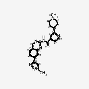 CN1CCC(c2cc(C(=O)Nc3ncc4ccc(-c5cn(C)nn5)cc4n3)ccn2)CC1